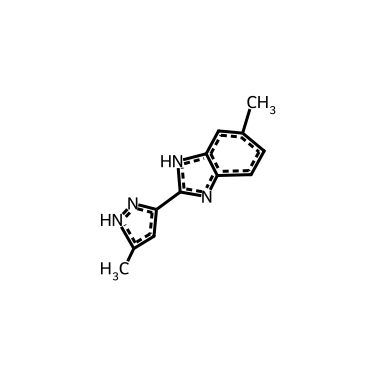 Cc1ccc2nc(-c3cc(C)[nH]n3)[nH]c2c1